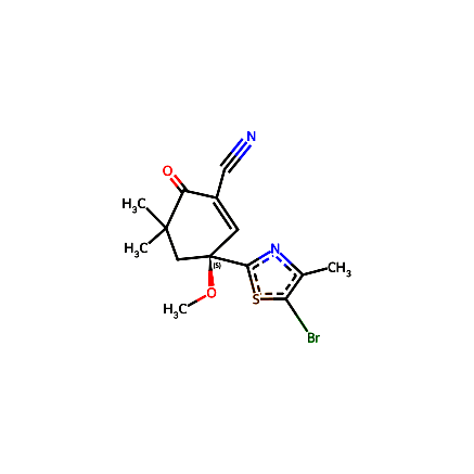 CO[C@]1(c2nc(C)c(Br)s2)C=C(C#N)C(=O)C(C)(C)C1